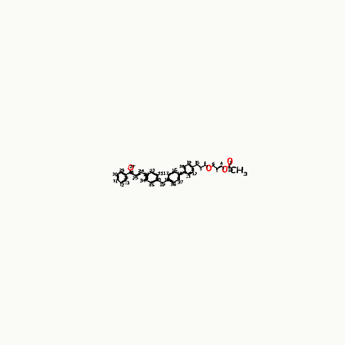 CC(=O)OCCCOCCCc1ccc(-c2ccc(Cc3ccc(/C=C/C(=O)c4ccccc4)cc3)cc2)cc1